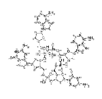 Nc1ccn([C@H]2CC(OP(=O)(O)OC[C@H]3O[C@@H](n4cnc5c(=O)[nH]c(N)nc54)CC3OP(=O)(O)OC[C@@H]3CC[C@H](n4cnc5c(N)ncnc54)O3)[C@@H](COP(=O)(O)OC3C[C@H](n4cnc5c(N)ncnc54)O[C@@H]3COP(=O)(O)O)O2)c(=O)n1